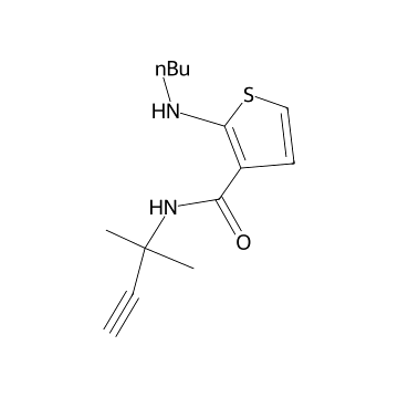 C#CC(C)(C)NC(=O)c1ccsc1NCCCC